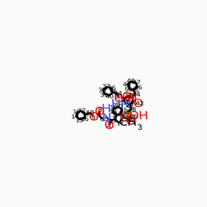 CCC(C(=O)NCC(=O)OCc1ccccc1)c1ccccc1OP(=O)(O)CCC(NC(=O)OCc1ccccc1)C(=O)OCc1ccccc1